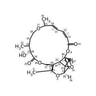 CC1=CC2O[C@@H]3C[C@H]4OC(=O)/C=C\C=C\C(C)OCCC(C)[C@@H](O)C(=O)OC[C@@]2(CC1)[C@]4(C)C31CO1